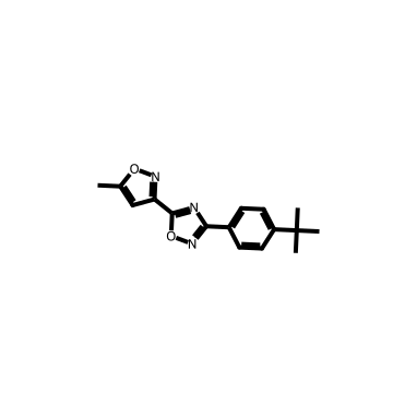 Cc1cc(-c2nc(-c3ccc(C(C)(C)C)cc3)no2)no1